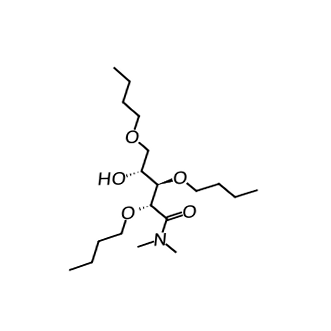 CCCCOC[C@@H](O)[C@@H](OCCCC)[C@@H](OCCCC)C(=O)N(C)C